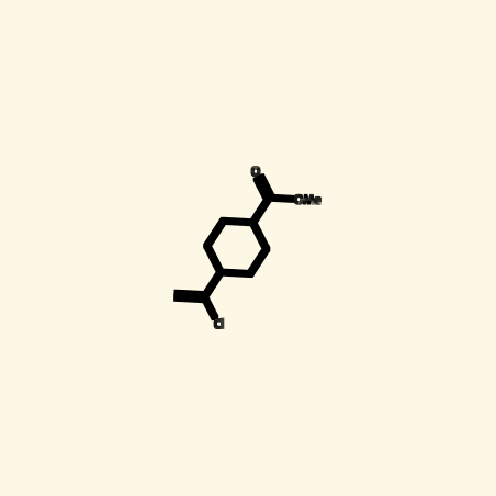 C=C(Cl)C1CCC(C(=O)OC)CC1